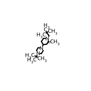 C[C@@H]1CC(N2CCN(C(C)(C)C)CC2)CCN1CC(C)(C)C